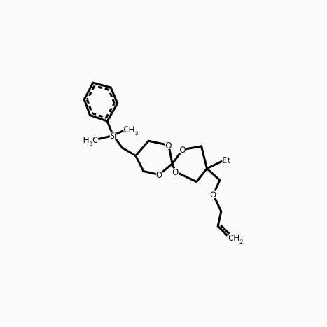 C=CCOCC1(CC)COC2(OCC(C[Si](C)(C)c3ccccc3)CO2)OC1